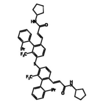 CC(C)c1ccccc1-c1c(/C=C/C(=O)NC2CCCC2)ccc(Sc2ccc(/C=C/C(=O)NC3CCCC3)c(-c3ccccc3C(C)C)c2C(F)(F)F)c1C(F)(F)F